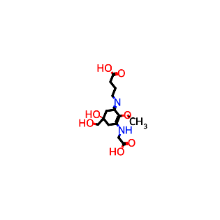 COC1=C(NCC(=O)O)C[C@@](O)(CO)C/C1=N\CCCC(=O)O